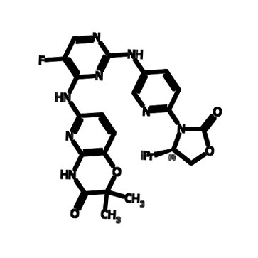 CC(C)[C@@H]1COC(=O)N1c1ccc(Nc2ncc(F)c(Nc3ccc4c(n3)NC(=O)C(C)(C)O4)n2)cn1